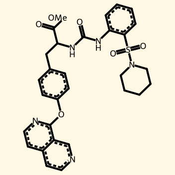 COC(=O)C(Cc1ccc(Oc2nccc3ccncc23)cc1)NC(=O)Nc1ccccc1S(=O)(=O)N1CCCCC1